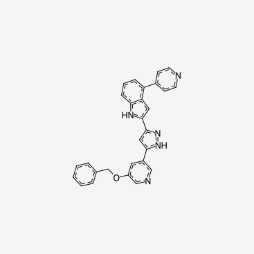 c1ccc(COc2cncc(-c3cc(-c4cc5c(-c6ccncc6)cccc5[nH]4)n[nH]3)c2)cc1